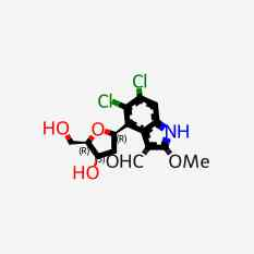 COc1[nH]c2cc(Cl)c(Cl)c([C@H]3C[C@H](O)[C@@H](CO)O3)c2c1C=O